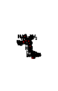 CN1CCN(C(=O)Oc2cc3c(c4ccccc24)[C@H](CBr)CN3C(=O)c2cc3cc(NC(=O)c4ccc(NC(=O)[C@H](CCCNC(N)=O)NC(=O)[C@H](CCCNC(N)=O)NCCNC(=O)CCCN5C(=O)C=CC5=O)cc4)ccc3[nH]2)CC1